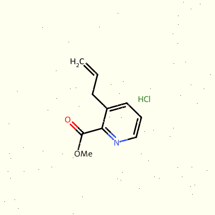 C=CCc1cccnc1C(=O)OC.Cl